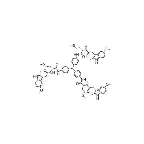 COc1ccc2[nH]c(C)c(CC(=O)N[C@@H](CCSC)C(=O)Nc3ccc(C(c4ccc(NC(=O)[C@H](CCSC)NC(=O)Cc5c(C)[nH]c6ccc(OC)cc56)cc4)c4ccc(NC(=O)[C@H](CCSC)NC(=O)Cc5c(C)[nH]c6ccc(OC)cc56)cc4)cc3)c2c1